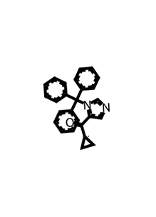 O=C([C]1CC1)c1cncn1C(c1ccccc1)(c1ccccc1)c1ccccc1